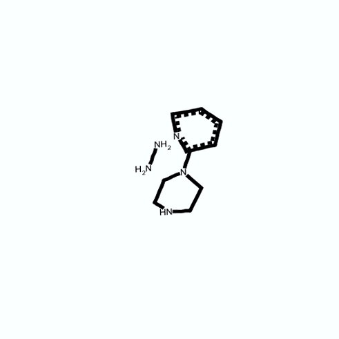 NN.c1ccc(N2CCNCC2)nc1